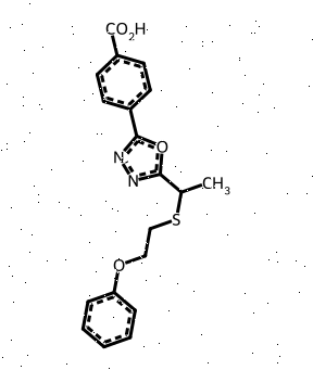 CC(SCCOc1ccccc1)c1nnc(-c2ccc(C(=O)O)cc2)o1